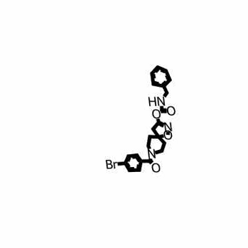 O=C(NCc1ccccc1)OC1=NOC2(CCN(C(=O)c3ccc(Br)cc3)CC2)C1